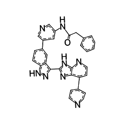 O=C(Cc1ccccc1)Nc1cncc(-c2ccc3[nH]nc(-c4nc5c(-c6ccncc6)ccnc5[nH]4)c3c2)c1